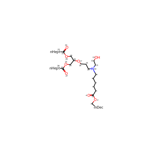 CCCCCCCCCCCOC(=O)CCCCCN(CCO)CCCOC(COC(=O)CCCCCCC)COC(=O)CCCCCCC